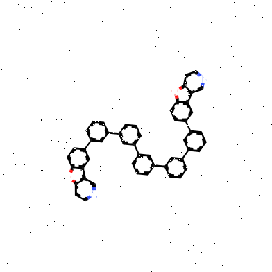 c1cc(-c2cccc(-c3cccc(-c4ccc5oc6ccncc6c5c4)c3)c2)cc(-c2cccc(-c3cccc(-c4ccc5oc6ccncc6c5c4)c3)c2)c1